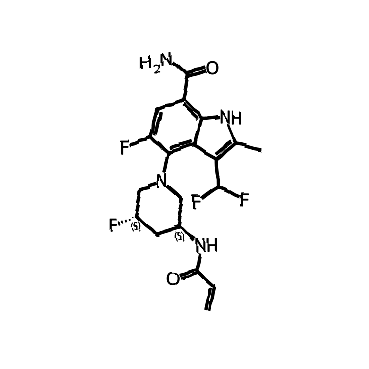 C=CC(=O)N[C@H]1C[C@H](F)CN(c2c(F)cc(C(N)=O)c3[nH]c(C)c(C(F)F)c23)C1